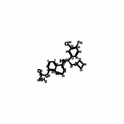 NC(=O)Oc1cccc2c(N[C@H](CN3CCC3)c3ccc(F)c(Cl)c3)ncnc12